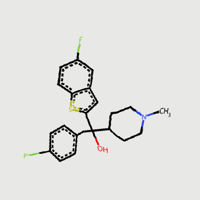 CN1CCC(C(O)(c2ccc(F)cc2)c2cc3cc(F)ccc3s2)CC1